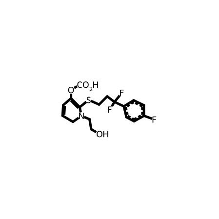 O=C(O)OC1=C(SCCC(F)(F)c2ccc(F)cc2)N(CCO)CC=C1